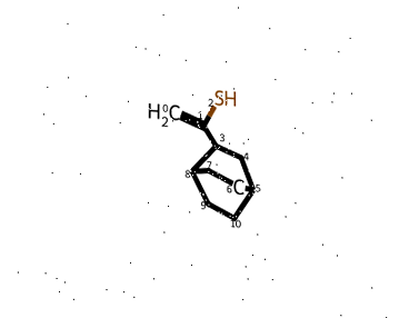 C=C(S)C1CC2CCC1CC2